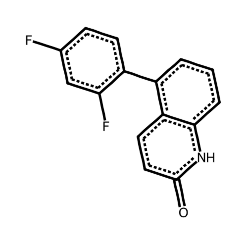 O=c1ccc2c(-c3ccc(F)cc3F)cccc2[nH]1